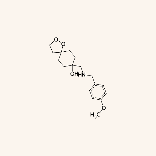 COc1ccc(CNCC2(O)CCC3(CCOO3)CC2)cc1